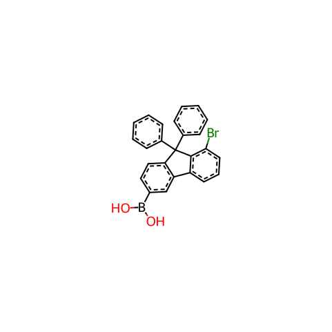 OB(O)c1ccc2c(c1)-c1cccc(Br)c1C2(c1ccccc1)c1ccccc1